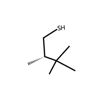 C[C@H](CS)C(C)(C)C